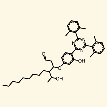 CCCCCCCCCC(C(C)O)C(CC=O)Oc1ccc(-c2nc(-c3c(C)cccc3C)nc(-c3c(C)cccc3C)n2)c(O)c1